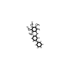 COc1c(C)c(Cc2cccc(-c3ccccc3)c2)c(OC)c(OC)c1OC